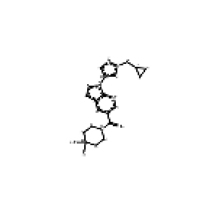 O=C(c1cnc2c(ccn2-c2cnn(CC3CC3)c2)c1)N1CCC(F)(F)CC1